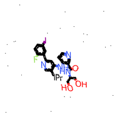 CC(C)c1cnc(-c2cc(I)ccc2F)cc1Nc1ccncc1C(=O)NC(CO)CO